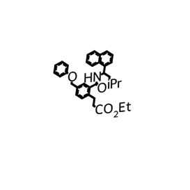 CCOC(=O)CCc1ccc(COc2ccccc2)cc1C(=O)NC(CC(C)C)c1cccc2ccccc12